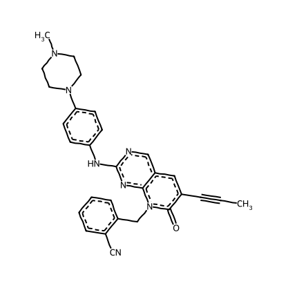 CC#Cc1cc2cnc(Nc3ccc(N4CCN(C)CC4)cc3)nc2n(Cc2ccccc2C#N)c1=O